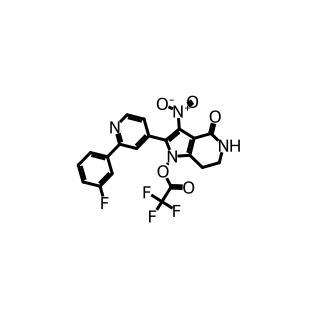 O=C1NCCc2c1c([N+](=O)[O-])c(-c1ccnc(-c3cccc(F)c3)c1)n2OC(=O)C(F)(F)F